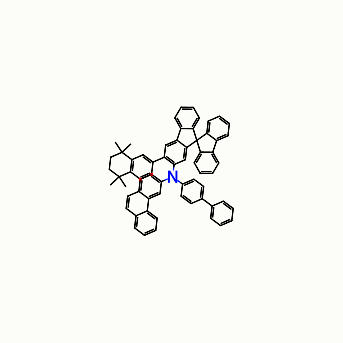 CC1(C)CCC(C)(C)c2cc(-c3cc4c(cc3N(c3ccc(-c5ccccc5)cc3)c3ccc5ccc6ccccc6c5c3)C3(c5ccccc5-c5ccccc53)c3ccccc3-4)ccc21